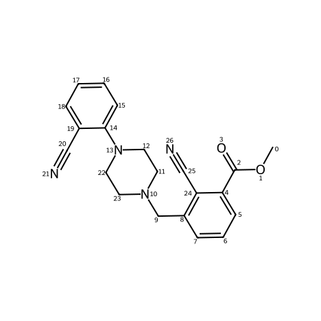 COC(=O)c1cccc(CN2CCN(c3ccccc3C#N)CC2)c1C#N